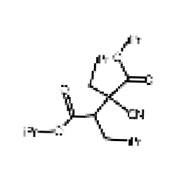 CC(C)CC(C(=O)OC(C)C)C(C#N)(CC(C)C)C(=O)OC(C)C